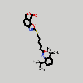 CC(C)c1cccc(C(C)C)c1NC(=O)CCCCCSc1nc2ccc3c(c2o1)C(=O)OC3